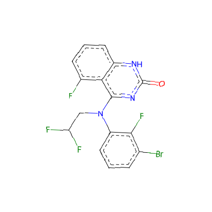 O=c1nc(N(CC(F)F)c2cccc(Br)c2F)c2c(F)cccc2[nH]1